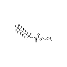 C=CCOC(=O)NCCC(F)(F)C(F)(F)C(F)(F)C(F)(F)C(F)(F)C(F)(F)F